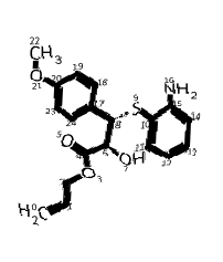 C=CCOC(=O)[C@H](O)[C@@H](Sc1ccccc1N)c1ccc(OC)cc1